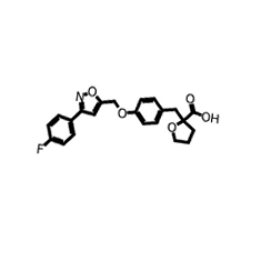 O=C(O)C1(Cc2ccc(OCc3cc(-c4ccc(F)cc4)no3)cc2)CCCO1